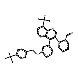 CC(C)(C)c1ccc(COc2cccc(-c3c(-c4ccccc4C=O)cnc4c(C(F)(F)F)cccc34)c2)cc1